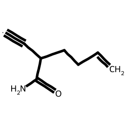 [C]#CC(CCC=C)C(N)=O